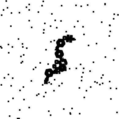 CC(C)(C)[Si](C)(C)Oc1ccc(Cc2ccc(N3CCn4ncc(C(=O)Nc5cccc(C#N)c5)c4C3=O)cc2)cc1